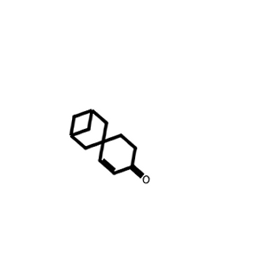 O=C1C=CC2(CC1)CC1CC(C1)C2